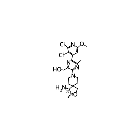 COc1cc(-c2nc(CO)c(N3CCC4(CC3)CO[C@@H](C)[C@H]4N)nc2C)c(Cl)c(Cl)n1